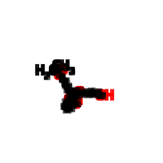 C=C(C)C(=O)OCCCCCCc1cc(OCCCCCCO)cc(C(=O)C2(O)CCCCC2)c1